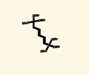 CO[Si](C=CC=CC[Si](OC)(OC)OC)(OC)OC